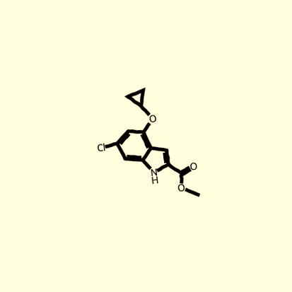 COC(=O)c1cc2c(OC3CC3)cc(Cl)cc2[nH]1